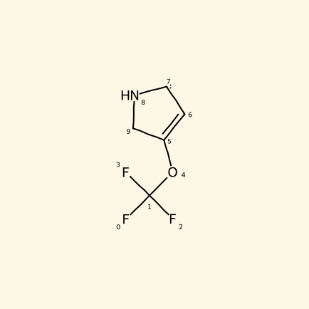 FC(F)(F)OC1=C[C]NC1